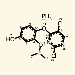 CP(C)Oc1cc(O)ccc1Oc1nc(Cl)ncc1Cl.P